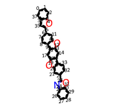 c1ccc2oc(-c3ccc4c(c3)oc3cc5c(cc34)oc3cc(-c4nc6ccccc6o4)ccc35)cc2c1